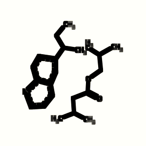 CC(C)COC(=O)CC(C)C.CCC(C)c1ccc2ncccc2c1